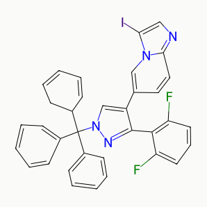 Fc1cccc(F)c1-c1nn(C(c2ccccc2)(c2ccccc2)C2C=CC=CC2)cc1-c1ccc2ncc(I)n2c1